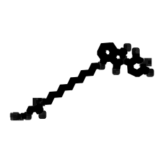 CC(C)(C)OCC(=O)NCCCCCCCCCCOc1cccc2c1C(=O)N(C1CCC(=O)NC1=O)C2=O